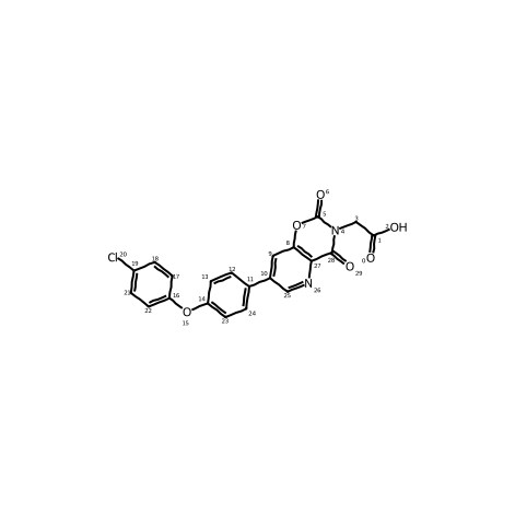 O=C(O)Cn1c(=O)oc2cc(-c3ccc(Oc4ccc(Cl)cc4)cc3)cnc2c1=O